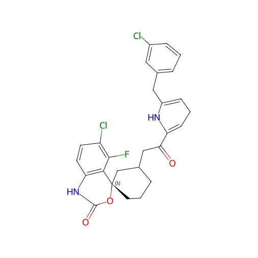 O=C1Nc2ccc(Cl)c(F)c2[C@@]2(CCCC(CC(=O)C3=CCC=C(Cc4cccc(Cl)c4)N3)C2)O1